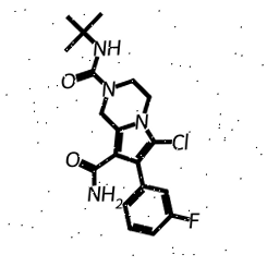 CC(C)(C)NC(=O)N1CCn2c(Cl)c(-c3cccc(F)c3)c(C(N)=O)c2C1